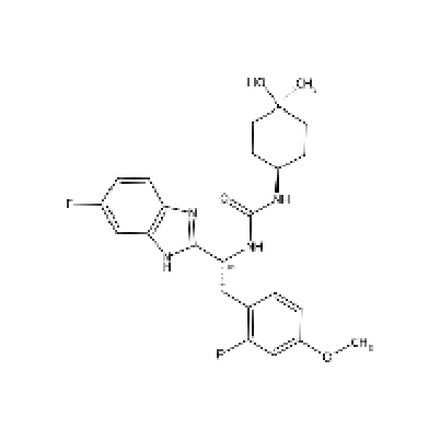 COc1ccc(C[C@@H](NC(=O)N[C@H]2CC[C@@](C)(O)CC2)c2nc3ccc(F)cc3[nH]2)c(F)c1